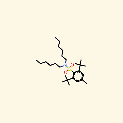 CCCCCCN(CCCCCC)S(=O)(=O)c1c(C(C)(C)C)cc(C)cc1C(C)(C)C